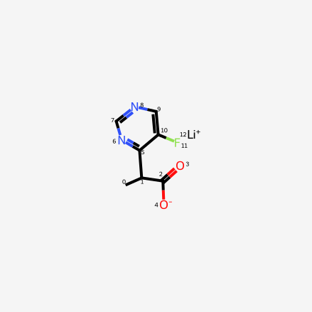 CC(C(=O)[O-])c1ncncc1F.[Li+]